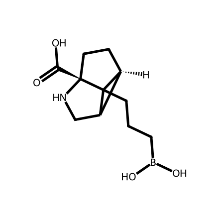 O=C(O)[C@]12CC[C@H]3C(CN1)C32CCCB(O)O